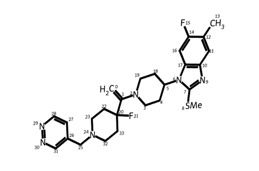 C=C(N1CCC(n2c(SC)nc3cc(C)c(F)cc32)CC1)C1(F)CCN(Cc2ccnnc2)CC1